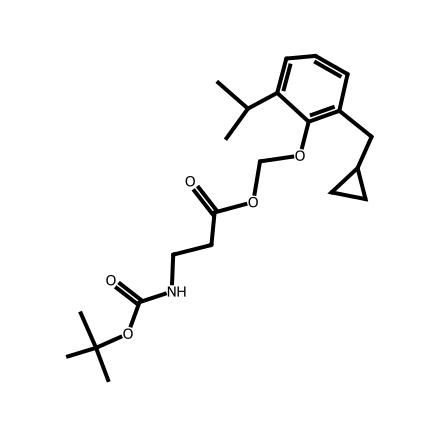 CC(C)c1cccc(CC2CC2)c1OCOC(=O)CCNC(=O)OC(C)(C)C